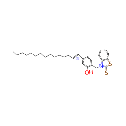 CCCCCCCCCCCCC/C=C/c1ccc(Cn2c(=S)sc3ccccc32)c(O)c1